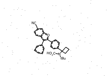 CC(C)(C)N(C(=O)O)C1(c2ccc(-c3oc4cc(C#N)ccc4c3-c3ccccc3)cc2)CCC1